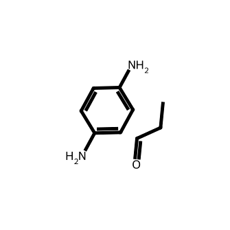 CCC=O.Nc1ccc(N)cc1